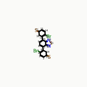 S=C1C=CC(Br)=C(c2ccc(C3=C(Br)C=CC(=S)C3)c3nsnc23)C1